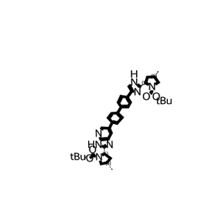 C[C@H]1C[C@@H](c2nc(-c3ccc(-c4ccc(-c5cnc6[nH]c([C@@H]7C[C@H](C)CN7C(=O)OC(C)(C)C)nc6c5)cc4)cc3)c[nH]2)N(C(=O)OC(C)(C)C)C1